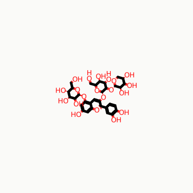 OCC1O[C@@H](Oc2cc3c(O[C@@H]4OC(CO)[C@@H](O)[C@H](O)C4O)cc(O)cc3[o+]c2-c2ccc(O)c(O)c2)C(O[C@@H]2OC[C@@H](O)C(O)[C@H]2O)C(O)[C@@H]1O